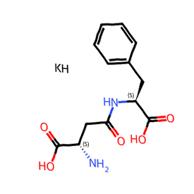 N[C@@H](CC(=O)N[C@@H](Cc1ccccc1)C(=O)O)C(=O)O.[KH]